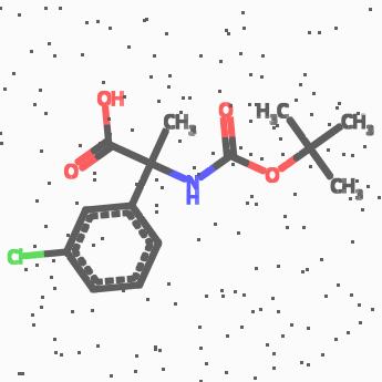 CC(C)(C)OC(=O)NC(C)(C(=O)O)c1cccc(Cl)c1